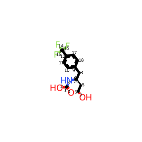 O=C(O)N[C@H](CCO)Cc1ccc(C(F)(F)F)cc1